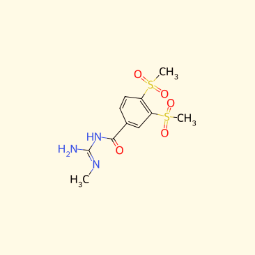 CN=C(N)NC(=O)c1ccc(S(C)(=O)=O)c(S(C)(=O)=O)c1